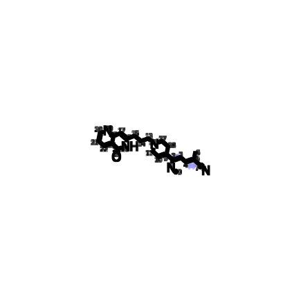 C=N/C(=C\C=C(/C)C#N)C1=CCN(CCCc2cc3ncccc3c(=O)[nH]2)CC1